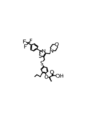 CCCc1cc(SCc2sc(-c3ccc(C(F)(F)F)cc3)nc2CN2CCOCC2)ccc1OC(C)C(=O)O